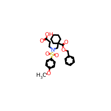 COc1ccc(S(=O)(=O)N(CCC(=O)O)CC2(C(=O)OCc3ccccc3)CCCCC2)cc1